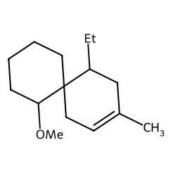 CCC1CC(C)=CCC12CCCCC2OC